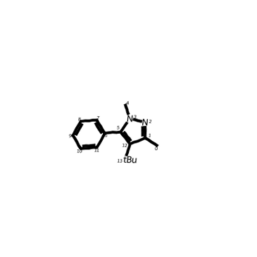 Cc1nn(C)c(-c2ccccc2)c1C(C)(C)C